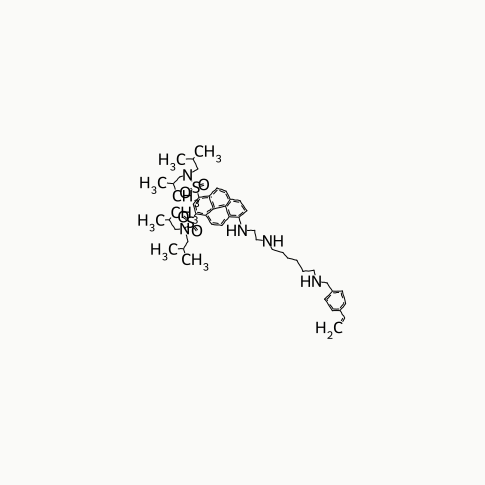 C=Cc1ccc(CNCCCCCCNCCNc2ccc3ccc4c(S(=O)(=O)N(CC(C)C)CC(C)C)cc(S(=O)(=O)N(CC(C)C)CC(C)C)c5ccc2c3c45)cc1